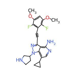 COc1cc(OC)c(F)c(C#Cc2nn(C3CCNC3)c3c(C4CC4)cnc(N)c23)c1F